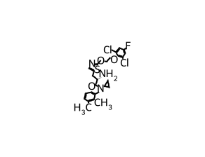 Cc1cccc(CN(C(=O)[C@@H](CN)Cc2cnc(OCCOc3c(Cl)cc(F)cc3Cl)s2)C2CC2)c1C